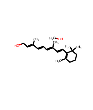 CC1=C(/C=C/C(C)=C/C=C/C(C)=C/CO)C(C)(C)CCC1.CO